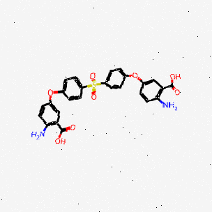 Nc1ccc(Oc2ccc(S(=O)(=O)c3ccc(Oc4ccc(N)c(C(=O)O)c4)cc3)cc2)cc1C(=O)O